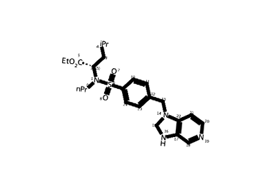 CCCN([C@@H](CC(C)C)C(=O)OCC)S(=O)(=O)c1ccc(CN2CNc3cnccc32)cc1